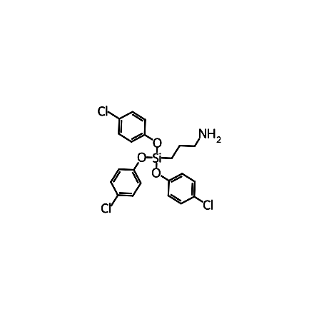 NCCC[Si](Oc1ccc(Cl)cc1)(Oc1ccc(Cl)cc1)Oc1ccc(Cl)cc1